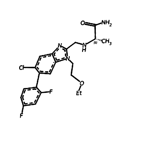 CCOCCn1c(CN[C@@H](C)C(N)=O)nc2cc(Cl)c(-c3ccc(F)cc3F)cc21